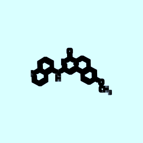 COc1ccc2c(c1)CCn1c-2cc(Nc2cccc3ncccc23)nc1=O